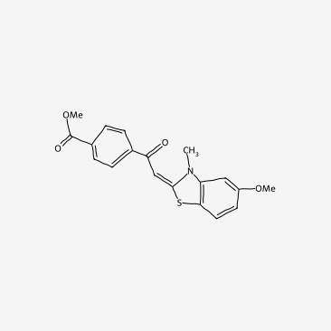 COC(=O)c1ccc(C(=O)/C=C2/Sc3ccc(OC)cc3N2C)cc1